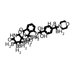 BC(B)(c1ccc(C(O)(O)Nc2cccc3c2C(B)(O)N(C2(B)C(=O)NC(=O)C(B)(B)C2(B)B)C3=O)cc1)N1CCOCC1